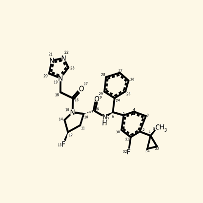 CC1(c2ccc([C@@H](NC(=O)[C@@H]3C[C@@H](F)CN3C(=O)Cn3cnnc3)c3ccccc3)cc2F)CC1